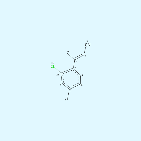 C/C(=C\C#N)c1ccc(C)cc1Cl